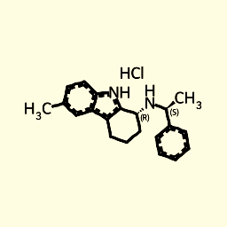 Cc1ccc2[nH]c3c(c2c1)CCC[C@H]3N[C@@H](C)c1ccccc1.Cl